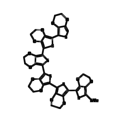 CNc1sc(-c2sc(-c3sc(-c4sc(-c5sc(-c6scc7c6OCCO7)c6c5OCCO6)c5c4OCCO5)c4c3OCCO4)c3c2OCCO3)c2c1OCCO2